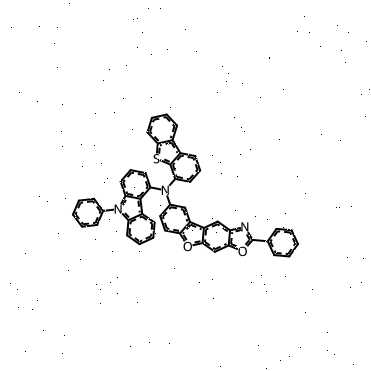 c1ccc(-c2nc3cc4c(cc3o2)oc2ccc(N(c3cccc5c3sc3ccccc35)c3cccc5c3c3ccccc3n5-c3ccccc3)cc24)cc1